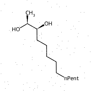 CCCCCCCCCC[C@H](O)[C@H](C)O